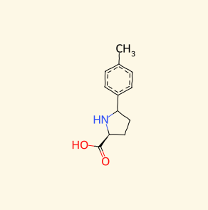 Cc1ccc(C2CC[C@@H](C(=O)O)N2)cc1